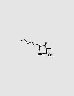 C#CC(O)C(=C)C(=C)C(=C)CCCCCC